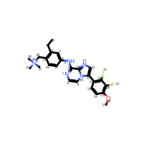 CCc1cc(Nc2nccn3c(-c4ccc(OC)c(F)c4F)cnc23)ccc1C[N+](C)(C)C